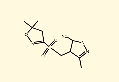 CC1=NSC(C#N)C1CS(=O)(=O)C1=NOC(C)(C)C1